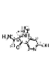 C[C@@](N)(C(N)=O)C(=O)c1ccc(O)nc1.Cl.Cl